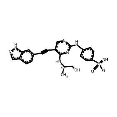 CCS(=N)(=O)c1ccc(Nc2ncc(C#Cc3ccc4cn[nH]c4c3)c(N[C@H](C)CO)n2)cc1